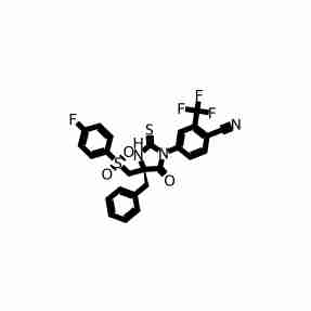 N#Cc1ccc(N2C(=O)[C@](Cc3ccccc3)(CS(=O)(=O)c3ccc(F)cc3)NC2=S)cc1C(F)(F)F